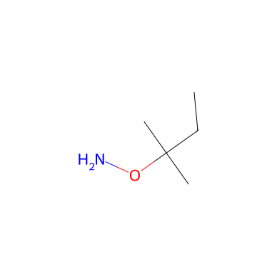 CCC(C)(C)ON